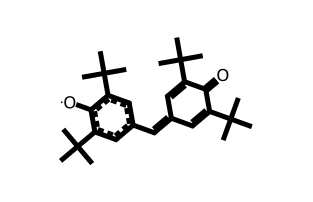 CC(C)(C)C1=CC(=Cc2cc(C(C)(C)C)c([O])c(C(C)(C)C)c2)C=C(C(C)(C)C)C1=O